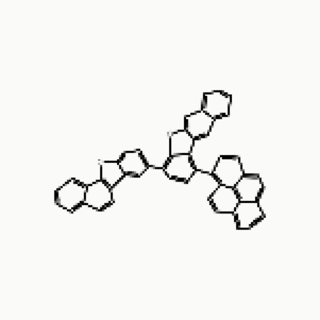 c1ccc2cc3c(cc2c1)oc1c(-c2ccc4oc5c6ccccc6ccc5c4c2)ccc(-c2ccc4ccc5cccc6ccc2c4c56)c13